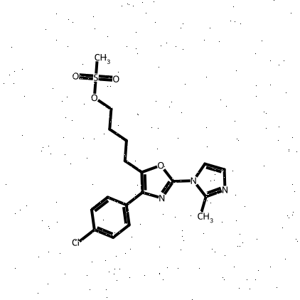 Cc1nccn1-c1nc(-c2ccc(Cl)cc2)c(CCCCOS(C)(=O)=O)o1